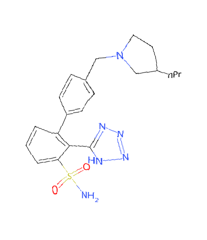 CCCC1CCN(Cc2ccc(-c3cccc(S(N)(=O)=O)c3-c3nnn[nH]3)cc2)C1